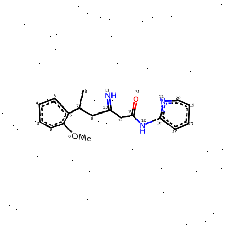 COc1ccccc1C(C)CC(=N)CC(=O)Nc1ccccn1